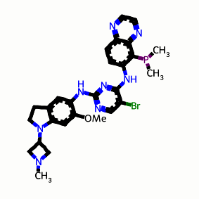 COc1cc2c(cc1Nc1ncc(Br)c(Nc3ccc4nccnc4c3P(C)C)n1)CCN2C1CN(C)C1